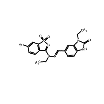 CCN(/N=C/c1ccc2[nH]c(=O)n(CC)c2c1)C1=NS(=O)(=O)c2cc(Br)ccc21